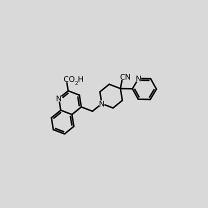 N#CC1(c2ccccn2)CCN(Cc2cc(C(=O)O)nc3ccccc23)CC1